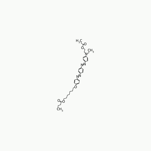 CCCC(=O)OCCCCCCCOc1ccc(N=Nc2ccc(N=Nc3ccc(N(CC)CCOC(=O)CC)cc3)cc2)cc1